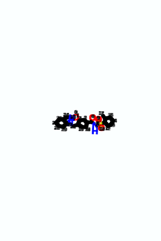 COc1cc(C(=O)NS(=O)(=O)c2ccccc2C)ccc1Cn1ncc2ccccc21